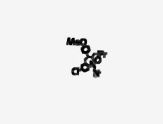 COc1ccc(C2Cc3cc(Cl)ccc3N(CCN(C)C)C(=O)C2CC(C)C)cc1